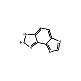 c1nc2ccc3[nH][nH]nc3c2n1